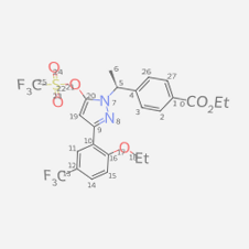 CCOC(=O)c1ccc([C@H](C)n2nc(-c3cc(C(F)(F)F)ccc3OCC)cc2OS(=O)(=O)C(F)(F)F)cc1